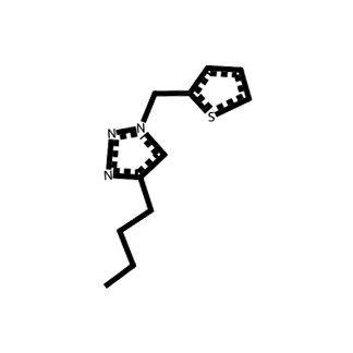 CCCCc1cn(Cc2cccs2)nn1